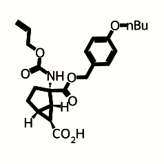 C=CCOC(=O)N[C@@]1(C(=O)OCc2ccc(OCCCC)cc2)CC[C@H]2[C@H](C(=O)O)[C@H]21